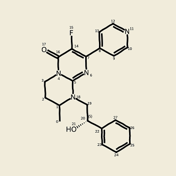 CC1CCn2c(nc(-c3ccncc3)c(F)c2=O)N1C[C@@H](O)c1ccccc1